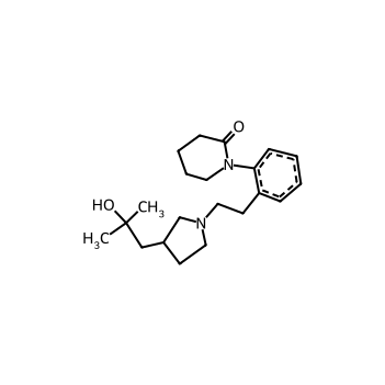 CC(C)(O)CC1CCN(CCc2ccccc2N2CCCCC2=O)C1